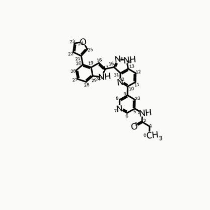 CCC(=O)Nc1cncc(-c2ccc3[nH]nc(-c4cc5c(-c6ccoc6)cccc5[nH]4)c3n2)c1